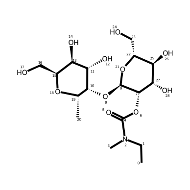 CCN(C)C(=O)O[C@@H]1[C@@H](O[C@H]2[C@@H](O)[C@H](O)[C@H](CO)O[C@H]2C)O[C@H](CO)[C@@H](O)[C@@H]1O